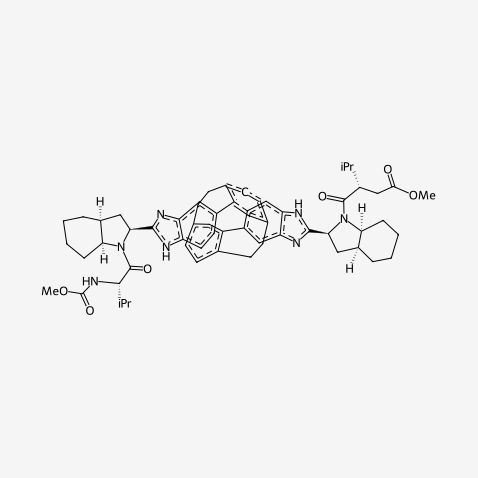 COC(=O)C[C@H](C(=O)N1[C@H](c2nc3cc(-c4cc5ccc4CCc4ccc(c(-c6ccc7[nH]c([C@@H]8C[C@@H]9CCCC[C@@H]9N8C(=O)[C@@H](NC(=O)OC)C(C)C)nc7c6)c4)CC5)ccc3[nH]2)C[C@@H]2CCCC[C@@H]21)C(C)C